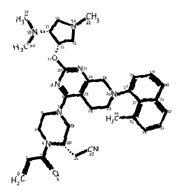 C=CC(=O)N1CCN(c2nc(O[C@H]3CN(C)C[C@H]3N(C)C)nc3c2CCN(c2cccc4cccc(C)c24)C3)C[C@@H]1CC#N